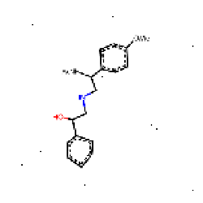 COc1ccc(C(CNCC(O)c2ccccc2)NC(C)=O)cc1